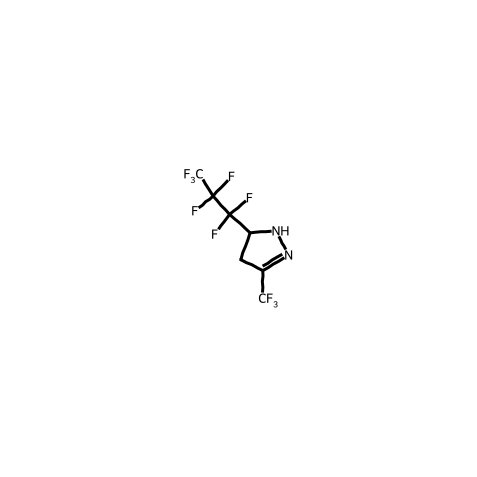 FC(F)(F)C1=NNC(C(F)(F)C(F)(F)C(F)(F)F)C1